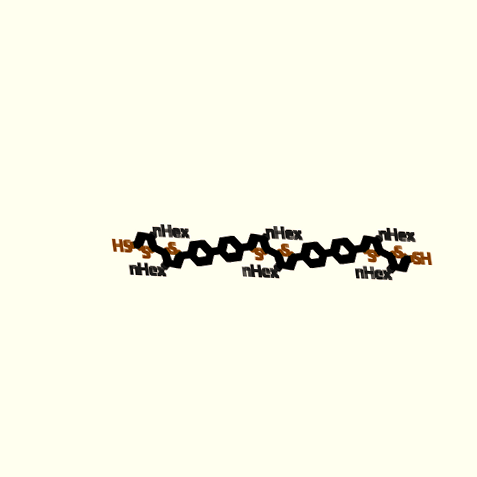 CCCCCCc1cc(S)sc1-c1sc(-c2ccc(-c3ccc(-c4cc(CCCCCC)c(-c5sc(-c6ccc(-c7ccc(-c8cc(CCCCCC)c(-c9sc(S)cc9CCCCCC)s8)cc7)cc6)cc5CCCCCC)s4)cc3)cc2)cc1CCCCCC